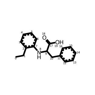 CCc1ccccc1NC(Cc1ccccc1)C(=O)O